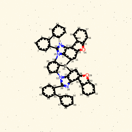 c1ccc(-c2ccccc2-c2nc3c4c(cc5c3n2-c2cccc3c2B5c2cc5oc6ccccc6c5c5nc(-c6ccccc6-c6ccccc6)n-3c25)oc2ccccc24)cc1